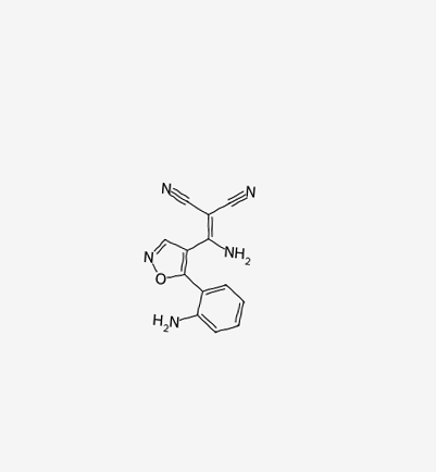 N#CC(C#N)=C(N)c1cnoc1-c1ccccc1N